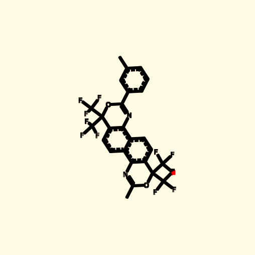 CC1=Nc2c(ccc3c4c(ccc23)C(C(F)(F)F)(C(F)(F)F)OC(c2cccc(C)c2)=N4)C(C(F)(F)F)(C(F)(F)F)O1